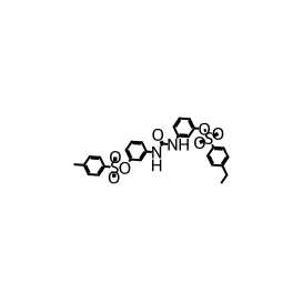 CCc1ccc(S(=O)(=O)Oc2cccc(NC(=O)Nc3cccc(OS(=O)(=O)c4ccc(C)cc4)c3)c2)cc1